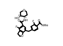 CNC(=O)c1ccc(Cc2cc(C(=O)N[C@H]3CCOC[C@@H]3O)c(F)c3c2OCC3)cc1F